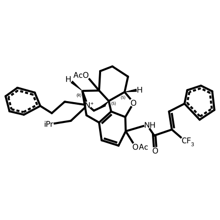 CC(=O)OC1(NC(=O)C(=Cc2ccccc2)C(F)(F)F)C=CC2=C3C1O[C@H]1CCCC4(OC(C)=O)[C@@H](C2)[N+](CCc2ccccc2)(CC(C)C)CC[C@]314